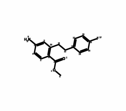 COC(=O)c1ccc(N)cc1CCc1ccc(F)cc1